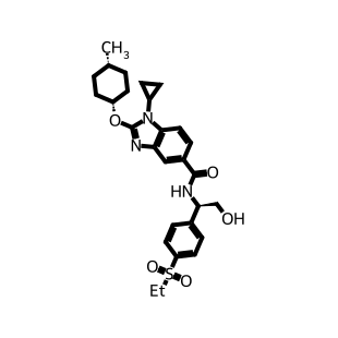 CCS(=O)(=O)c1ccc([C@H](CO)NC(=O)c2ccc3c(c2)nc(O[C@H]2CC[C@@H](C)CC2)n3C2CC2)cc1